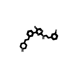 Fc1cccc(CCNc2ncc(F)c(-c3cccc(CCC4CCNCC4)c3)n2)c1